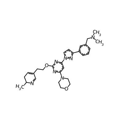 CC1CC=C(CCOc2nc(N3CCOCC3)cc(-n3ccc(-c4cccc(CN(C)C)c4)n3)n2)C=N1